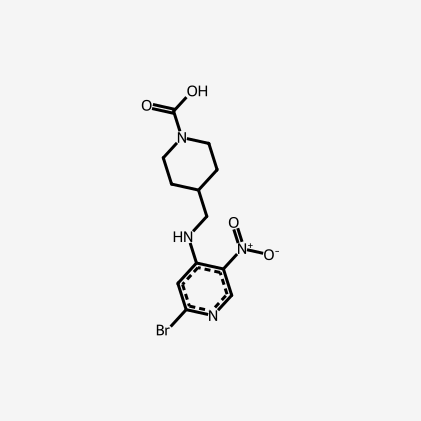 O=C(O)N1CCC(CNc2cc(Br)ncc2[N+](=O)[O-])CC1